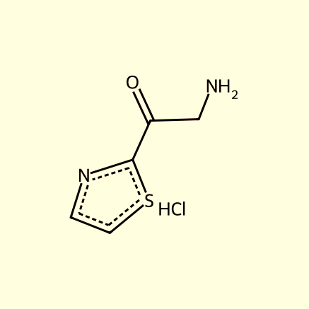 Cl.NCC(=O)c1nccs1